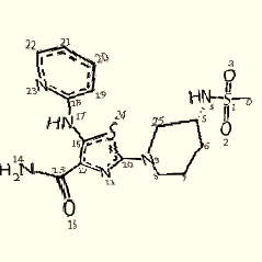 CS(=O)(=O)N[C@@H]1CCCN(c2nc(C(N)=O)c(Nc3ccccn3)s2)C1